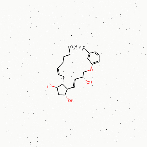 O=C(O)CCC/C=C\C[C@H]1C(O)C[C@@H](O)[C@@H]1/C=C/[C@@H](O)COc1cccc(C(F)(F)F)c1